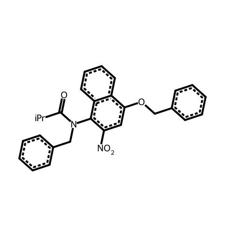 CC(C)C(=O)N(Cc1ccccc1)c1c([N+](=O)[O-])cc(OCc2ccccc2)c2ccccc12